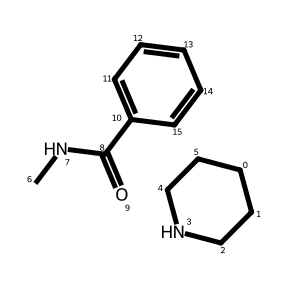 C1CCNCC1.CNC(=O)c1ccccc1